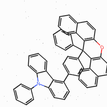 c1ccc(-n2c3ccccc3c3c(-c4ccc(C5(c6ccccc6)c6c(ccc7ccccc67)Oc6ccc7ccccc7c65)cc4)cccc32)cc1